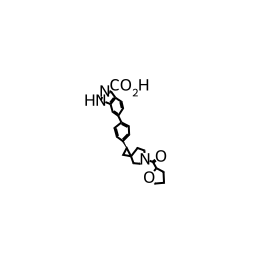 O=C(O)c1n[nH]c2cc(-c3ccc([C@@H]4CC45CCN(C(=O)C4CCCO4)CC5)cc3)ccc12